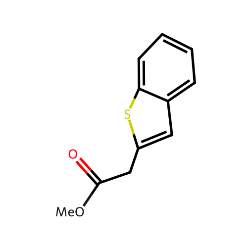 COC(=O)Cc1cc2ccccc2s1